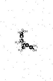 Cc1ccn(-c2cc(-c3ccc(CO)c(C)c3)ccc2C(Oc2cc(N3CCC4(CC3)CN[C@H](C(=O)O)C4)nc(N)n2)C(F)(F)F)n1